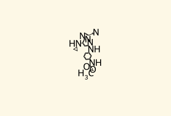 COC(=O)Nc1cccc(Nc2cc(NC3CC3)c3ncc(C#N)n3n2)c1